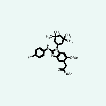 COC(=O)Cc1cc2nc(Nc3ccc(C(C)C)cc3)n(C3CC(C)(C)CC(C)(C)C3)c2cc1OC